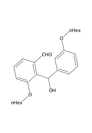 CCCCCCOc1cccc(C(O)c2c(C=O)cccc2OCCCCCC)c1